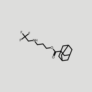 O=C(OCCCNCC(F)(F)F)C12CC3CC(CC(C3)C1)C2